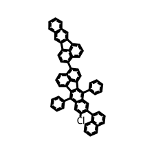 Clc1cc2c(-c3ccccc3)c3c(c(-c4ccccc4)c2cc1-c1cccc2ccccc12)-c1ccc(-c2ccc4c5c(cccc25)-c2cc5ccccc5cc2-4)c2cccc-3c12